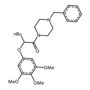 CCCCC(Oc1cc(OC)c(OC)c(OC)c1)C(=O)N1CCN(Cc2ccccc2)CC1